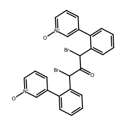 O=C(C(Br)c1ccccc1-c1ccc[n+]([O-])c1)C(Br)c1ccccc1-c1ccc[n+]([O-])c1